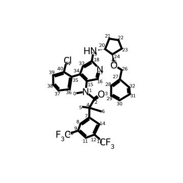 CN(C(=O)C(C)(C)c1cc(C(F)(F)F)cc(C(F)(F)F)c1)c1cnc(N[C@@H]2CCC[C@H]2OCc2ccccc2)cc1-c1ccccc1Cl